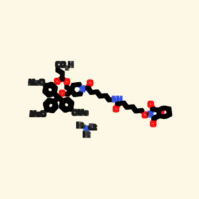 CCN(CC)CC.COc1ccc(C(OCC2(COC(=O)CCC(=O)O)CCN(C(=O)CCCCCNC(=O)CCCCCON3C(=O)C4C5C=CC(O5)C4C3=O)CC2)(c2ccc(OC)cc2)c2ccc(OC)cc2)cc1